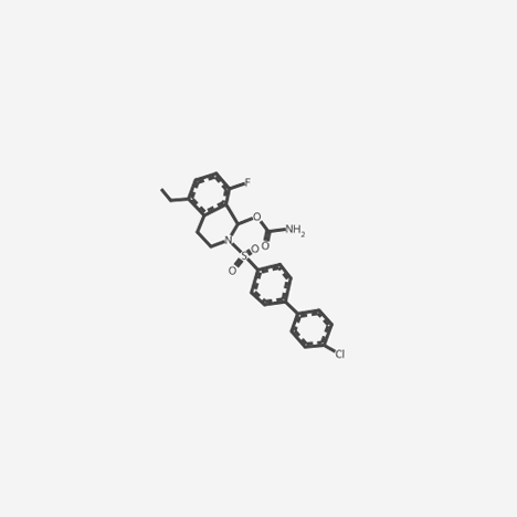 CCc1ccc(F)c2c1CCN(S(=O)(=O)c1ccc(-c3ccc(Cl)cc3)cc1)C2OC(N)=O